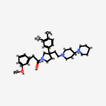 Cc1ccc(C2(CCN3CCC(N4CCCCC4)CC3)CCN(C(=O)Cc3cccc(OC(C)C)c3)C2)cc1C